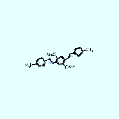 COc1cc(/C=C/c2ccc(N)cc2)c(OC)cc1/C=C/c1ccc(C)cc1